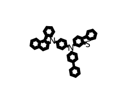 c1ccc(-c2ccc(N(c3ccc(-n4c5ccccc5c5c6ccccc6ccc54)cc3)c3ccc4c(c3)sc3ccccc34)cc2)cc1